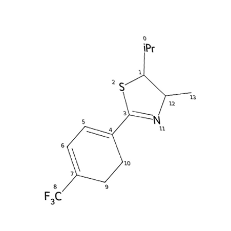 CC(C)C1SC(C2=CC=C(C(F)(F)F)CC2)=NC1C